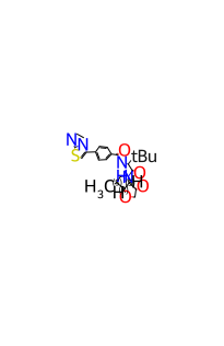 C[C@H]1CN(C(=O)C(NC(=O)c2ccc(C3=CSC4=NCCN34)cc2)C(C)(C)C)[C@@H]2C(=O)CO[C@@H]21